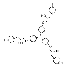 OC(COc1ccc(C(c2ccc(OCC(O)CN3CCNCC3)cc2)c2ccc(OCC(O)CN3CCNCC3)cc2)cc1)CN1CCNCC1